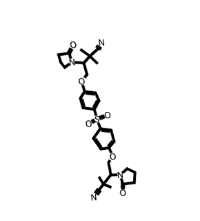 CC(C)(C#N)C(COc1ccc(S(=O)(=O)c2ccc(OCC(N3CCCC3=O)C(C)(C)C#N)cc2)cc1)N1CCCC1=O